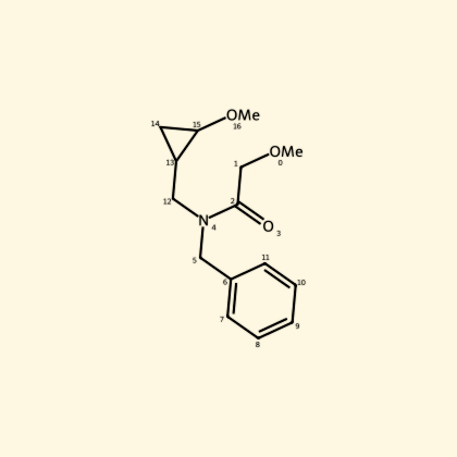 COCC(=O)N(Cc1ccccc1)CC1CC1OC